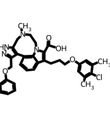 Cc1cc(OCCCc2c(C(=O)O)n3c4c(cccc24)-c2c(COc4ccccc4)n[nH]c2CN(C)CC3)cc(C)c1Cl